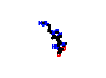 NCCn1cc(-c2noc(=O)[nH]2)nn1